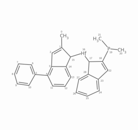 CC1=Cc2c(-c3ccccc3)cccc2[CH]1[Hf][CH]1C(P(C)C)=Cc2ccccc21